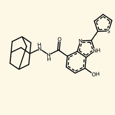 O=C(NNC12CC3CC(CC(C3)C1)C2)c1ccc(O)c2[nH]c(-c3cccs3)nc12